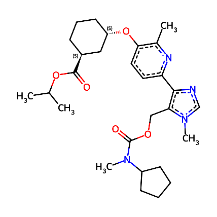 Cc1nc(-c2ncn(C)c2COC(=O)N(C)C2CCCC2)ccc1O[C@H]1CCC[C@H](C(=O)OC(C)C)C1